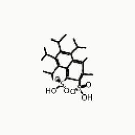 Cc1c(S(=O)(=O)O)c(S(=O)(=O)O)c2c(C(C)C)c(C(C)C)c(C(C)C)c(C(C)C)c2c1C